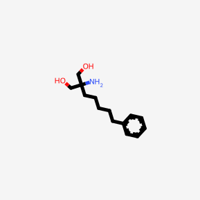 NC(CO)(CO)CCCCCc1ccccc1